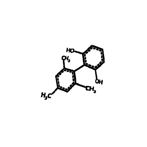 Cc1cc(C)c(-c2c(O)cccc2O)c(C)c1